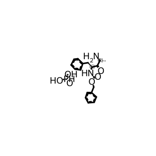 C[C@@H](N)C(=O)[C@H](Cc1ccccc1)NC(=O)OCc1ccccc1.O=[PH](O)O